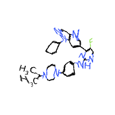 CC(C)N1CCN(c2ccc(Nc3ncc(F)c(-c4cnc5cnn(C6CCCC6)c5c4)n3)cc2)CC1